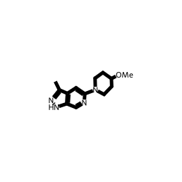 COC1CCN(c2cc3c(C)n[nH]c3cn2)CC1